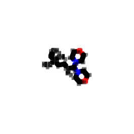 C=C[Si](C)(C)CC[SiH2]C(N1CCOCC1)N1CCOCC1